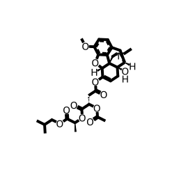 COc1ccc2c3c1O[C@H]1C(OC(=O)C[C@H](OC(C)=O)C(=O)O[C@@H](C)C(=O)OCC(C)C)=CC[C@@]4(O)[C@@H](C2)N(C)CC[C@]314